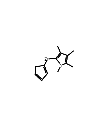 Cc1c(C)[c]([Zr][C]2=CC=CC2)n(C)c1C